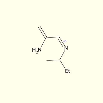 C=C(N)/C=N\C(C)CC